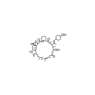 COC1CC(C)C/C(C)=C\CC(=O)CC(O)C(C)C(/C(C)=C/C2CCC(O)CC2)OC(=O)C2CCCCN2C(=O)C(=O)C2(O)OC1C(OC)CC2C